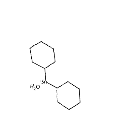 C1CC[CH]([Sn][CH]2CCCCC2)CC1.O